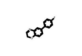 Fc1ccc(-c2ccc3c(c2)N=CCO3)cc1